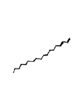 C=[C]C=CCCCCCCCCCCCCCC